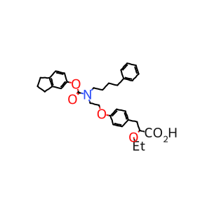 CCOC(Cc1ccc(OCCN(CCCCc2ccccc2)C(=O)Oc2ccc3c(c2)CCC3)cc1)C(=O)O